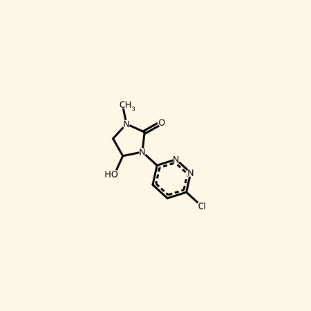 CN1CC(O)N(c2ccc(Cl)nn2)C1=O